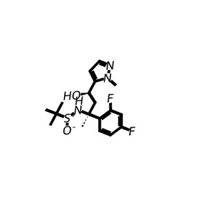 Cn1nccc1[C@H](O)C[C@](C)(N[S+]([O-])C(C)(C)C)c1ccc(F)cc1F